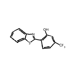 Oc1cc(C(F)(F)F)ccc1-c1nc2ccccc2s1